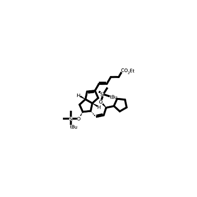 CCOC(=O)CCC=CC1=C[C@H]2C[C@@H](O[Si](C)(C)C(C)(C)C)[C@@H](/C=C\[C@@H](O[Si](C)(C)C(C)(C)C)C3CCCC3)[C@H]2C1